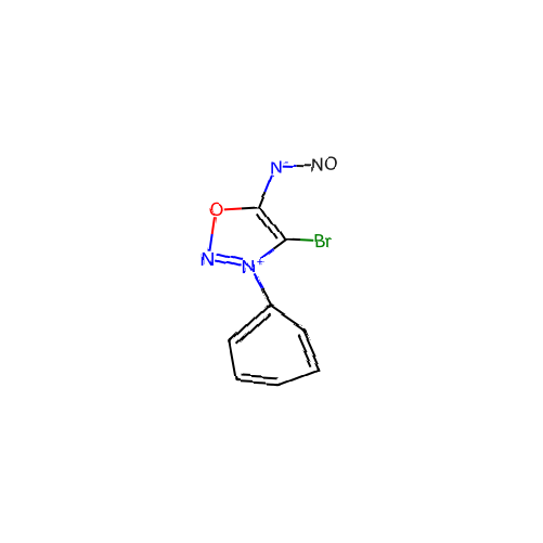 O=N[N-]c1on[n+](-c2ccccc2)c1Br